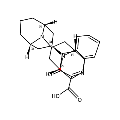 O=C(O)c1nc2ccccc2n([C@@H]2C[C@H]3CCC[C@@H](C2)N3C2C[C@H]3CCC[C@@H](C2)C3)c1=O